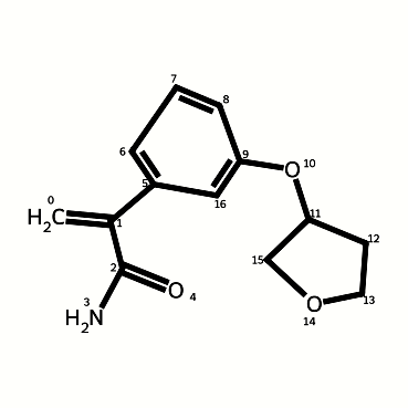 C=C(C(N)=O)c1cccc(OC2CCOC2)c1